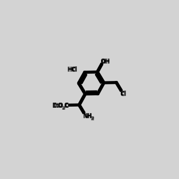 CCOC(=O)C(N)c1ccc(O)c(CCl)c1.Cl